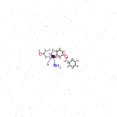 CO[C@H]1CC[C@]2(CC1)Cc1ccc(OCc3ccccc3)cc1C21N=C(N)N(C)O1